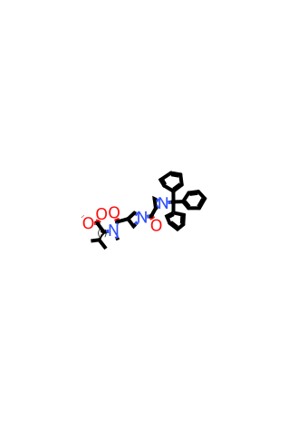 COC(=O)[C@H](C(C)C)N(C)C(=O)C1CN(C(=O)C2CN2C(c2ccccc2)(c2ccccc2)c2ccccc2)C1